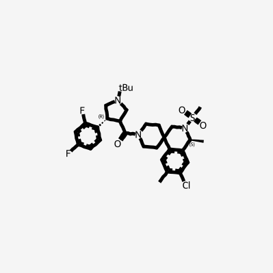 Cc1cc2c(cc1Cl)[C@H](C)N(S(C)(=O)=O)CC21CCN(C(=O)C2CN(C(C)(C)C)C[C@H]2c2ccc(F)cc2F)CC1